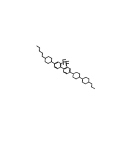 CCCCCC1CCC(c2ccc(-c3ccc(C4CCC(C5CCC(CCC)CC5)CC4)cc3F)c(F)c2)CC1